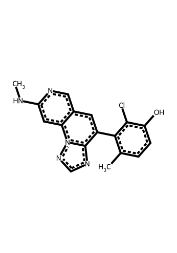 CNc1cc2c(cn1)cc(-c1c(C)ccc(O)c1Cl)c1ncnn12